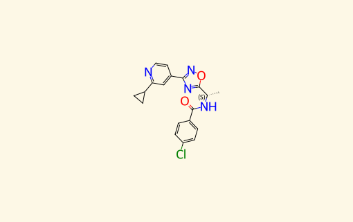 C[C@H](NC(=O)c1ccc(Cl)cc1)c1nc(-c2ccnc(C3CC3)c2)no1